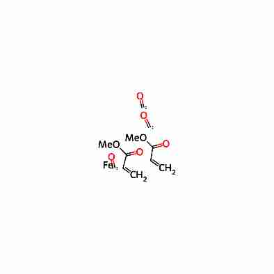 C=CC(=O)OC.C=CC(=O)OC.[C]=O.[C]=O.[C]=O.[Fe]